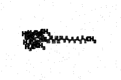 CCCCCCCCCCCCCCCCSCC(COC)(COC)CC(COP(=O)([O-])O)[N+](C)(C)C